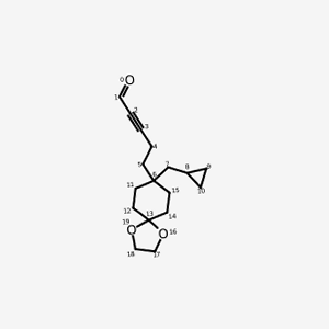 O=CC#CCCC1(CC2CC2)CCC2(CC1)OCCO2